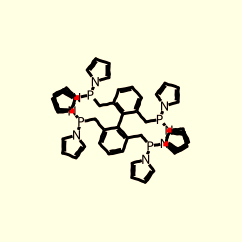 C1=CN(P(Cc2cccc(CP(n3cccc3)n3cccc3)c2-c2c(CP(n3cccc3)n3cccc3)cccc2CP(n2cccc2)n2cccc2)n2cccc2)CC1